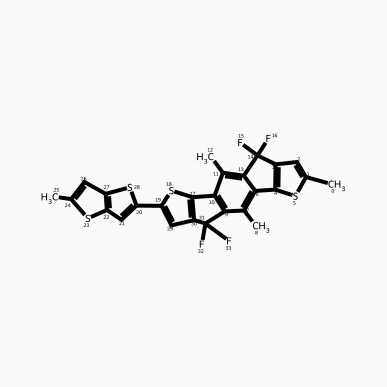 Cc1cc2c(s1)-c1c(C)c3c(c(C)c1C2(F)F)-c1sc(-c2cc4sc(C)cc4s2)cc1C3(F)F